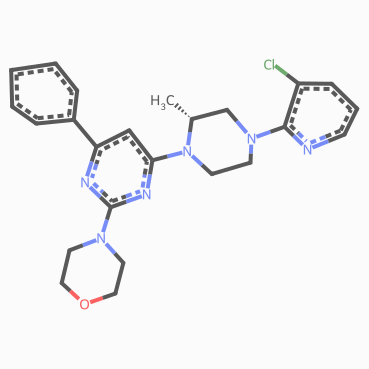 C[C@@H]1CN(c2ncccc2Cl)CCN1c1cc(-c2ccccc2)nc(N2CCOCC2)n1